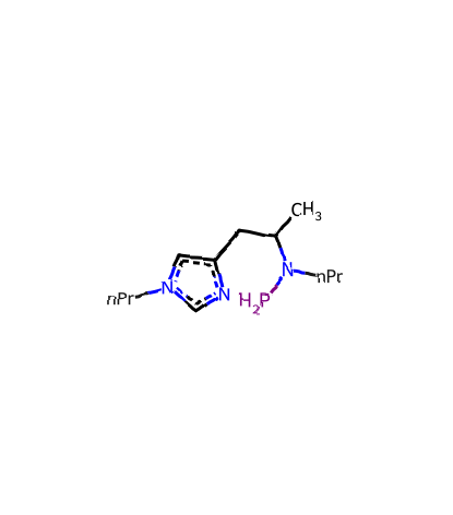 CCCN(P)C(C)Cc1cn(CCC)cn1